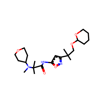 CN(C1CCOCC1)C(C)(C)C(=O)Nc1cc(C(C)(C)COC2CCCCO2)no1